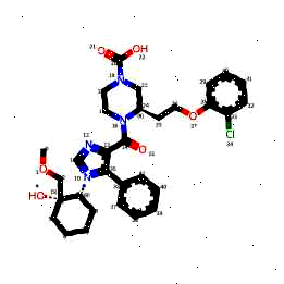 COC[C@]1(O)CCCC[C@H]1n1cnc(C(=O)N2CCN(C(=O)O)C[C@H]2CCOc2ccccc2Cl)c1-c1ccccc1